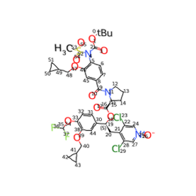 CC(C)(C)OC(=O)N(c1ccc(C(=O)N2CCC[C@H]2C(=O)O[C@@H](Cc2c(Cl)c[n+]([O-])cc2Cl)c2ccc(OC(F)F)c(OCC3CC3)c2)cc1OCC1CC1)S(C)(=O)=O